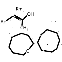 CC(=O)/C=C(\C)O.[CH]1[CH]CCCCCC1.[CH]1[CH]CCCCCC1.[Rh]